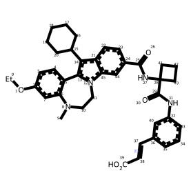 CCOc1ccc2c(c1)N(C)CCn1c-2c(C2CCCCC2)c2ccc(C(=O)NC3(C(=O)Nc4cccc(/C=C/C(=O)O)c4)CCC3)cc21